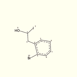 OC(I)Cc1ccccc1Br